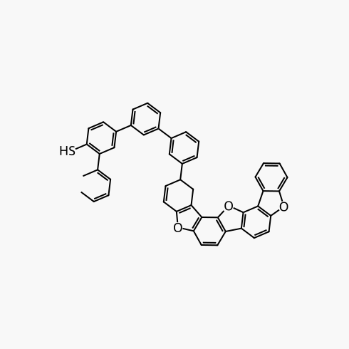 C/C=C\C=C(/C)c1cc(-c2cccc(-c3cccc(C4C=Cc5oc6ccc7c8ccc9oc%10ccccc%10c9c8oc7c6c5C4)c3)c2)ccc1S